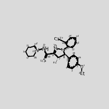 CCOc1ccc([C@H]2[C@H](C)C(C(=S)NN3CCCCC3)=NN2c2ccccc2Cl)cc1